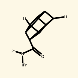 [Li][C]12C3C4C1C1(C(=O)N(C(C)C)C(C)C)C2C3[C]41[Li]